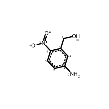 Nc1ccc([N+](=O)[O-])c(CO)c1